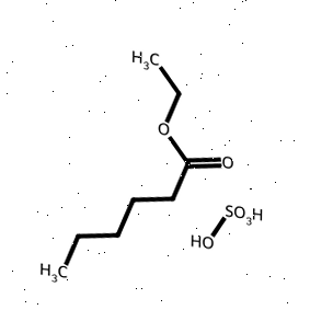 CCCCCC(=O)OCC.O=S(=O)(O)O